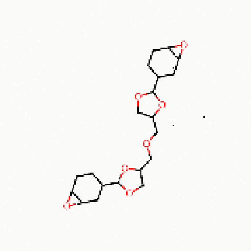 C(OCC1COC(C2CCC3OC3C2)O1)C1COC(C2CCC3OC3C2)O1